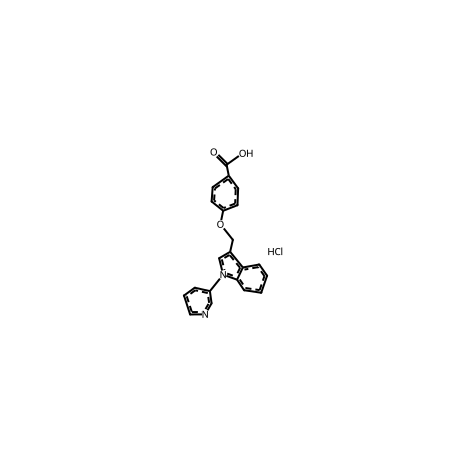 Cl.O=C(O)c1ccc(OCc2cn(-c3cccnc3)c3ccccc23)cc1